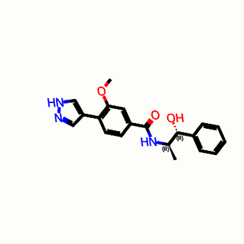 COc1cc(C(=O)N[C@H](C)[C@H](O)c2ccccc2)ccc1-c1cn[nH]c1